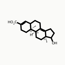 C[C@]12CC[C@@H]3C(=C1CCC2O)CCC1C=C(C(=O)O)CC[C@@]13C